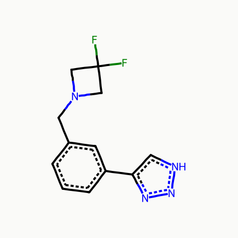 FC1(F)CN(Cc2cccc(-c3c[nH]nn3)c2)C1